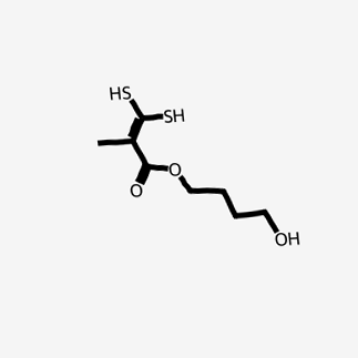 CC(C(=O)OCCCCO)=C(S)S